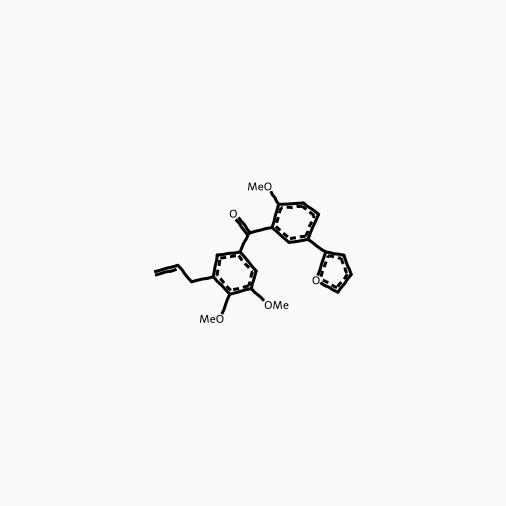 C=CCc1cc(C(=O)c2cc(-c3ccco3)ccc2OC)cc(OC)c1OC